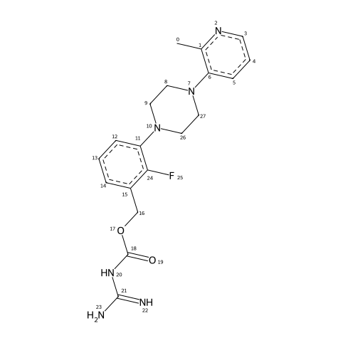 Cc1ncccc1N1CCN(c2cccc(COC(=O)NC(=N)N)c2F)CC1